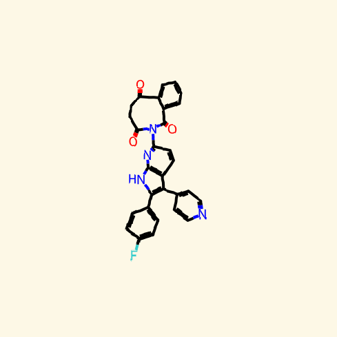 O=C1CCC(=O)N(c2ccc3c(-c4ccncc4)c(-c4ccc(F)cc4)[nH]c3n2)C(=O)c2ccccc21